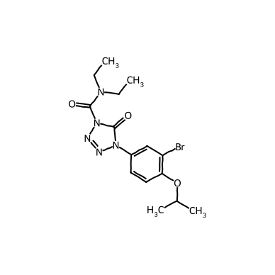 CCN(CC)C(=O)n1nnn(-c2ccc(OC(C)C)c(Br)c2)c1=O